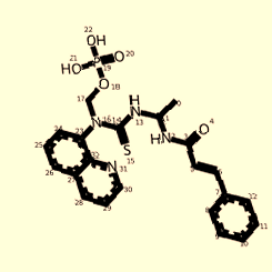 CC(NC(=O)/C=C/c1ccccc1)NC(=S)N(COP(=O)(O)O)c1cccc2cccnc12